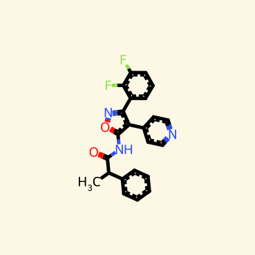 CC(C(=O)Nc1onc(-c2cccc(F)c2F)c1-c1ccncc1)c1ccccc1